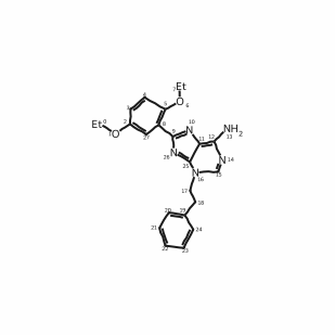 CCOc1ccc(OCC)c(-c2nc3c(N)ncn(CCc4ccccc4)c-3n2)c1